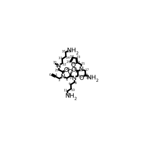 C#CCN(CC(=O)N(CCCCN)CC(=O)N(CC(N)=O)Cc1ccco1)C(=O)CN(C)CCCCN